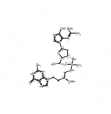 CN/C(N)=N\c1c(C=O)ncn1[C@H]1C[C@H](NS(C)(C)NC[C@H](CCn2cnc3c(=O)[nH]c(N)nc32)OC)[C@@H](CO)O1